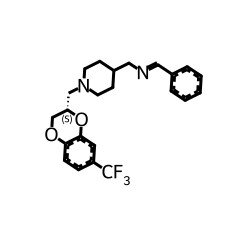 FC(F)(F)c1ccc2c(c1)O[C@@H](CN1CCC(CN=Cc3ccccc3)CC1)CO2